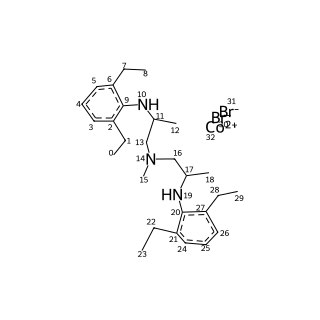 CCc1cccc(CC)c1NC(C)CN(C)CC(C)Nc1c(CC)cccc1CC.[Br-].[Br-].[Co+2]